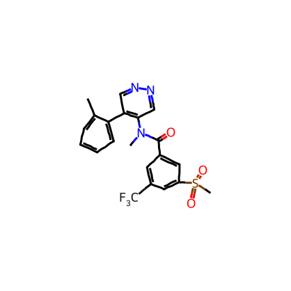 Cc1ccccc1-c1cnncc1N(C)C(=O)c1cc(C(F)(F)F)cc(S(C)(=O)=O)c1